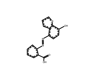 O=C(O)c1ccccc1N=Nc1ccc(O)c2ncccc12